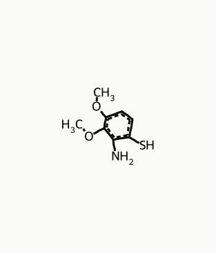 COc1ccc(S)c(N)c1OC